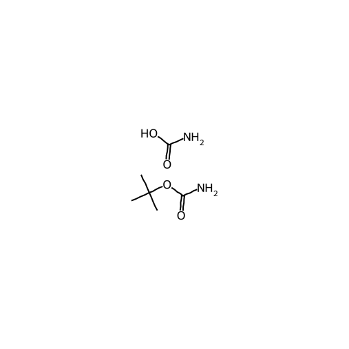 CC(C)(C)OC(N)=O.NC(=O)O